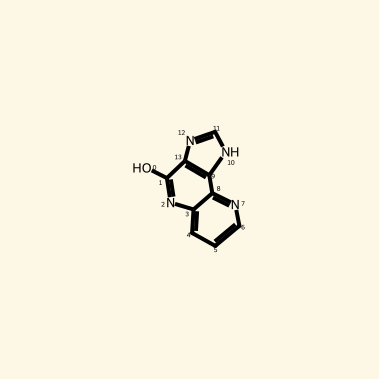 Oc1nc2cccnc2c2[nH]cnc12